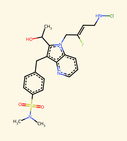 CC(O)c1c(Cc2ccc(S(=O)(=O)N(C)C)cc2)c2ncccc2n1C/C(F)=C/CNCl